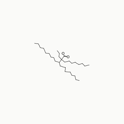 CCCCCCCCCC(CCCCCCCC)C(CCC)(CCCCCCCC)C([O])=O